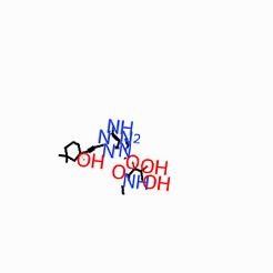 CCNC(=O)[C@@H](OCn1cnc2c(N)nc(C#C[C@]3(O)CCCC(C)(C)C3)nc21)C(O)CO